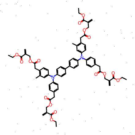 C=C(COC(=O)Cc1ccc(N(c2ccc(-c3ccc(N(c4ccc(CC(=O)OCC(=C)C(=O)OCC)cc4)c4ccc(CC(=O)OCC(=C)C(=O)OCC)c(C)c4)cc3)cc2)c2ccc(CC(=O)OCC(=C)C(=O)OCC)c(C)c2)cc1)C(=O)OCC